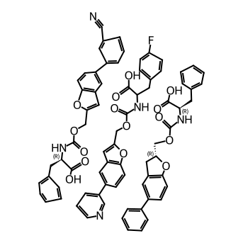 N#Cc1cccc(-c2ccc3oc(COC(=O)N[C@H](Cc4ccccc4)C(=O)O)cc3c2)c1.O=C(NC(Cc1ccc(F)cc1)C(=O)O)OCc1cc2cc(-c3cccnc3)ccc2o1.O=C(N[C@H](Cc1ccccc1)C(=O)O)OC[C@H]1Cc2cc(-c3ccccc3)ccc2O1